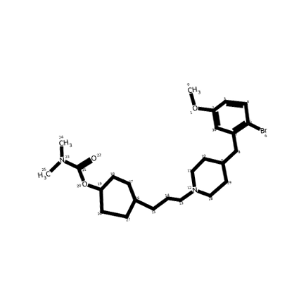 COc1ccc(Br)c(CC2CCN(CCCC3CCC(OC(=O)N(C)C)CC3)CC2)c1